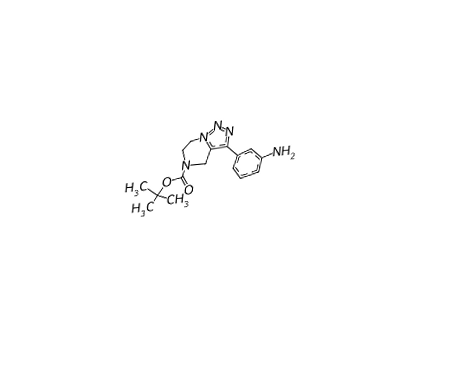 CC(C)(C)OC(=O)N1CCn2nnc(-c3cccc(N)c3)c2C1